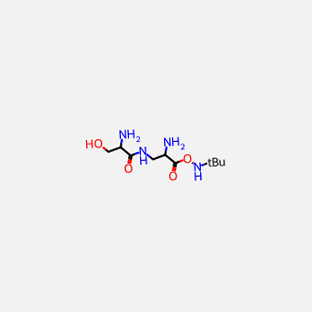 CC(C)(C)NOC(=O)C(N)CNC(=O)C(N)CO